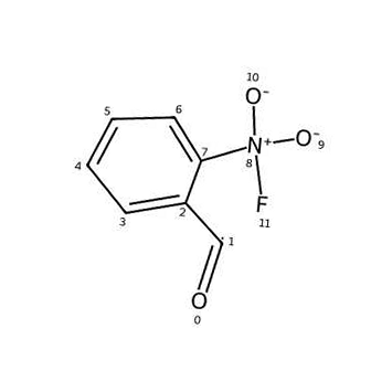 O=[C]c1ccccc1[N+]([O-])([O-])F